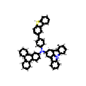 c1ccc2c(c1)sc1ccc(-c3ccc(N(c4ccc5c6ccccc6c6ccccc6c5c4)c4cc5c6ccccc6n6c7ccccc7c(c4)c56)cc3)cc12